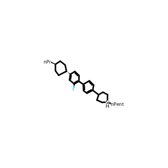 CCCCC[SiH]1CCC(c2ccc(-c3ccc([C@H]4CC[C@H](CCC)CC4)cc3F)cc2)CC1